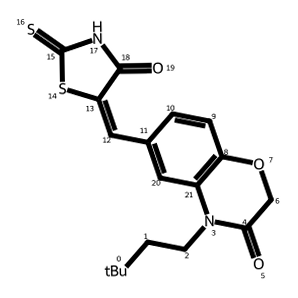 CC(C)(C)CCN1C(=O)COc2ccc(C=C3SC(=S)NC3=O)cc21